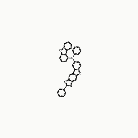 c1ccc(-c2nc3cc4oc5ccc(N(c6ccccc6)c6cccc7oc8ccccc8c67)cc5c4cc3o2)cc1